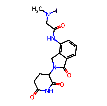 CN(I)CC(=O)Nc1cccc2c1CN(C1CCC(=O)NC1=O)C2=O